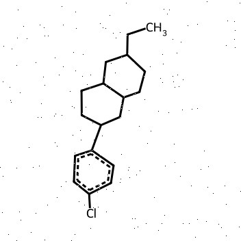 CCC1CCC2CC(c3ccc(Cl)cc3)CCC2C1